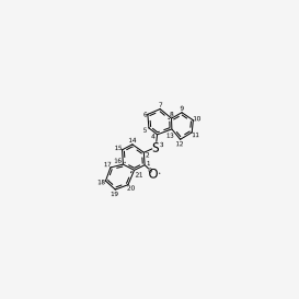 [O]c1c(Sc2cccc3ccccc23)ccc2ccccc12